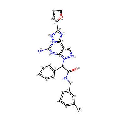 Nc1nc2c(cnn2C(C(=O)NCc2cccc(C(F)(F)F)c2)c2ccccc2)c2nc(-c3ccco3)nn12